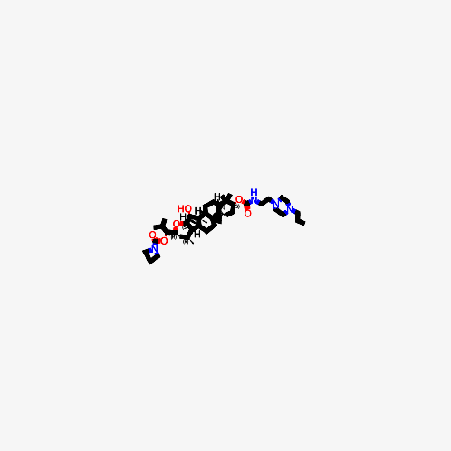 CCCN1CCN(CCNC(=O)O[C@H]2CC[C@]34CC35CC[C@]3(C)[C@@H]6[C@H](O[C@@H]([C@H](OC(=O)N7CCC7)C(C)C)C[C@H]6C)[C@H](O)[C@@]3(C)[C@@H]5CC[C@H]4C2(C)C)CC1